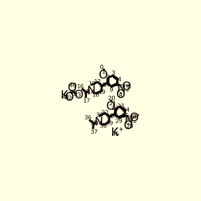 COc1ccc([N+](=O)[O-])cc1C1CCN(C(C)C)CC1.COc1ccc([N+](=O)[O-])cc1C1CCN(C(C)C)CC1.O=C([O-])[O-].[K+].[K+]